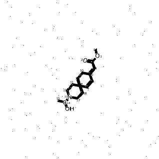 COC(=O)/C=C1/C=CC2(CC1)CCN(B(C)O)CC2